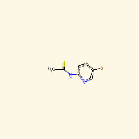 CC(=S)Nc1ccc(Br)cn1